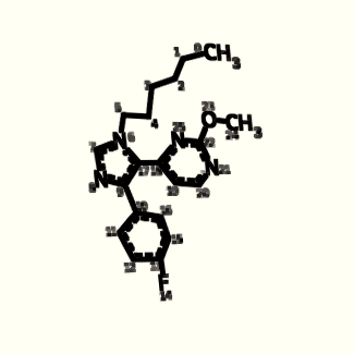 CCCCCCn1cnc(-c2ccc(F)cc2)c1-c1ccnc(OC)n1